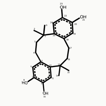 CC1(C)CCc2cc(O)c(O)cc2C(C)(C)CCc2cc(O)c(O)cc21